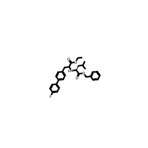 CCOC(=O)C(Cc1ccc(-c2ccc(F)cc2)cc1)N[C@@H](CC(C)C)C(=O)OCc1ccccc1